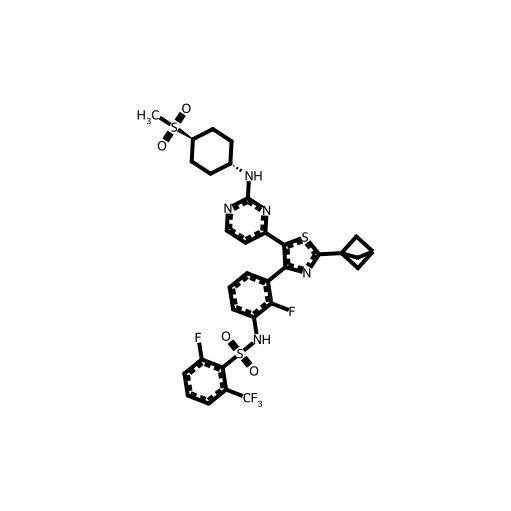 CS(=O)(=O)[C@H]1CC[C@H](Nc2nccc(-c3sc(C45CC(C4)C5)nc3-c3cccc(NS(=O)(=O)c4c(F)cccc4C(F)(F)F)c3F)n2)CC1